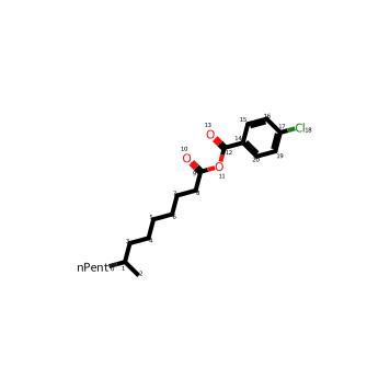 CCCCCC(C)CCCCCCC(=O)OC(=O)c1ccc(Cl)cc1